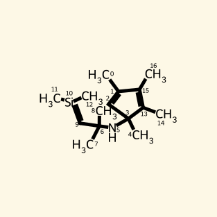 CC1=CC(C)(NC(C)(C)C=[Si](C)C)C(C)=C1C